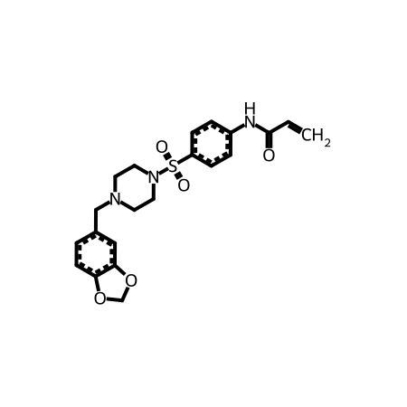 C=CC(=O)Nc1ccc(S(=O)(=O)N2CCN(Cc3ccc4c(c3)OCO4)CC2)cc1